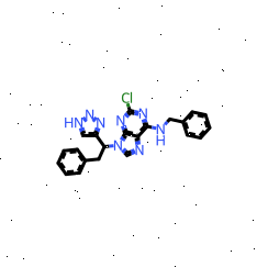 Clc1nc(NCc2ccccc2)c2ncn(C(Cc3ccccc3)c3c[nH]nn3)c2n1